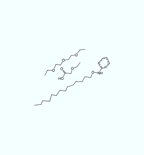 CCCCCCCCCCCCCCONc1ccccc1.CCOCC(=O)O.CCOCCOCCOCC